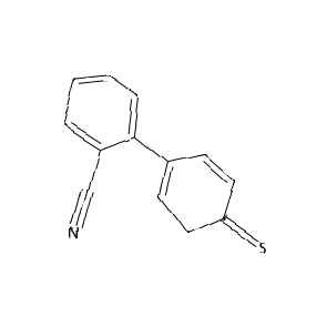 N#Cc1ccccc1C1=CCC(=S)C=C1